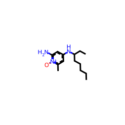 CCCCCC(CC)Nc1cc(C)[n+]([O-])c(N)c1